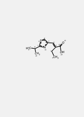 CC/C(=C\c1csc(C(C)C)n1)C(=O)O